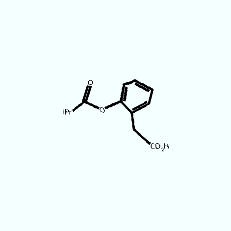 CC(C)C(=O)Oc1ccccc1CC(=O)O